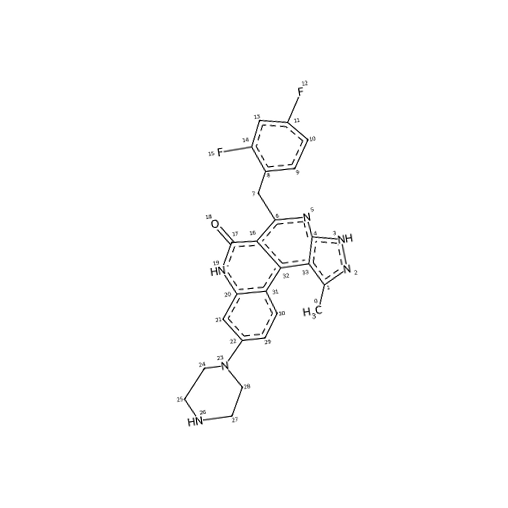 Cc1n[nH]c2nc(Cc3ccc(F)cc3F)c3c(=O)[nH]c4cc(N5CCNCC5)ccc4c3c12